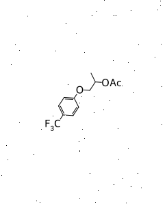 CC(=O)OC(C)COc1ccc(C(F)(F)F)cc1